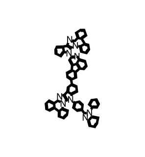 c1ccc(-n2c(-c3ccc(-n4c5ccc(-c6ccc7c(c6)-c6cccc8nc(-n9c%10ccccc%10c%10nc%11c%12ccccc%12c%12ccccc%12n%11c%109)cc-7c68)cc5c5nc6c7ccccc7c7ccccc7n6c54)cc3)nc3ccccc32)cc1